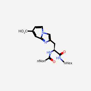 CCCCCCCCCC(=O)N[C@@H](Cc1cn2ccc(C(=O)O)cc2n1)C(=O)NCCCCCC